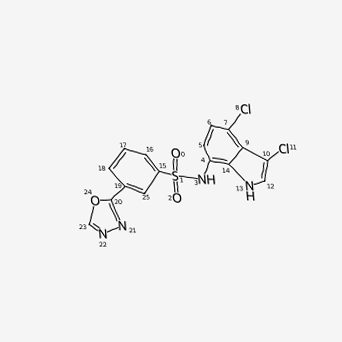 O=S(=O)(Nc1ccc(Cl)c2c(Cl)c[nH]c12)c1cccc(-c2nnco2)c1